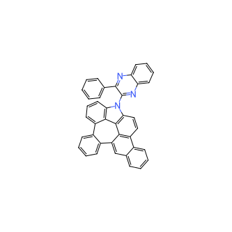 c1ccc(-c2nc3ccccc3nc2-n2c3cccc4c3c3c5c(cc6ccccc6c5ccc32)-c2ccccc2-4)cc1